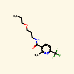 CCCOCCCNC(=O)c1ccc(C(F)(F)F)nc1C